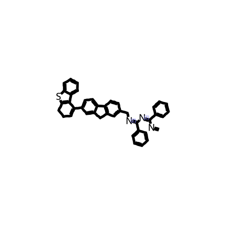 C=N/C(=N\C(=N/Cc1ccc2c(c1)Cc1cc(C3=CCCc4sc5ccccc5c43)ccc1-2)c1ccccc1)c1ccccc1